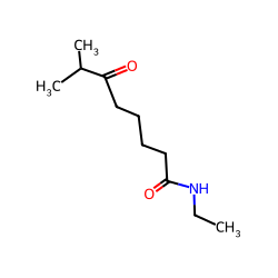 CCNC(=O)CCCCC(=O)C(C)C